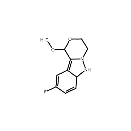 COC1OCCN2NC3C=CC(F)=CC3=C12